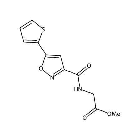 COC(=O)CNC(=O)c1cc(-c2cccs2)on1